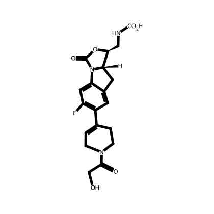 O=C(O)NC[C@@H]1OC(=O)N2c3cc(F)c(C4=CCN(C(=O)CO)CC4)cc3C[C@@H]12